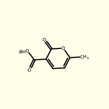 Cc1ccc(C(=O)OCC(C)C)c(=O)o1